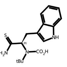 CC(C)(C)N(C(=O)O)[C@H](Cc1c[nH]c2ccccc12)C(N)=S